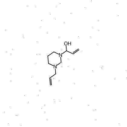 C=CCN1CCCN(C(O)C=C)C1